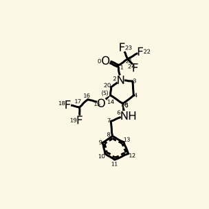 O=C(N1CC[C@@H](NCc2ccccc2)[C@@H](OCC(F)F)C1)C(F)(F)F